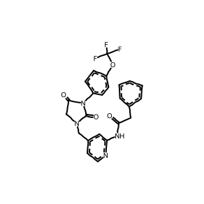 O=C(Cc1ccccc1)Nc1cc(CN2CC(=O)N(c3ccc(OC(F)(F)F)cc3)C2=O)ccn1